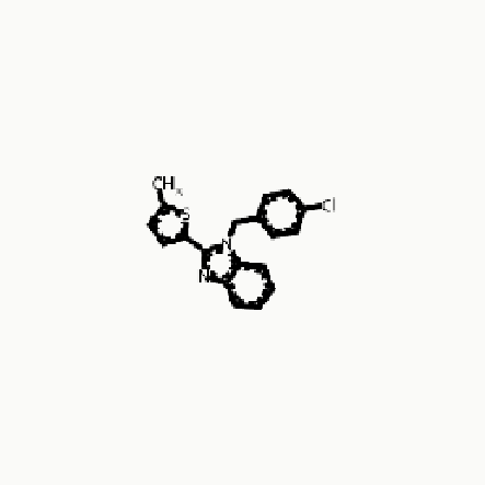 Cc1ccc(-c2nc3ccccc3n2Cc2ccc(Cl)cc2)s1